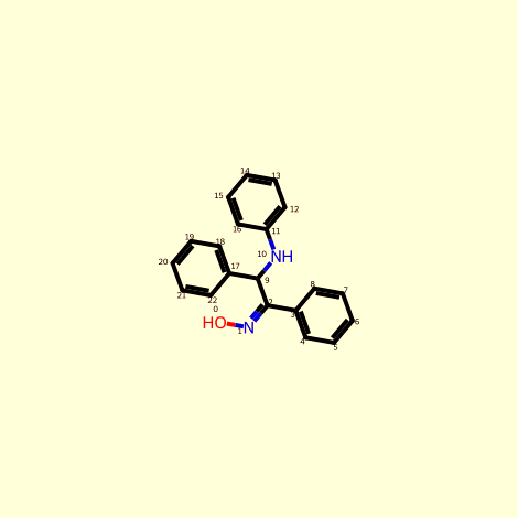 ON=C(c1ccccc1)C(Nc1ccccc1)c1ccccc1